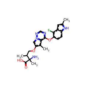 Cc1cc2c(F)c(Oc3ncnn4cc(OCC(C)C(C)(N)C(=O)O)c(C)c34)ccc2[nH]1